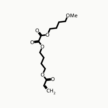 C=CC(=O)OCCCCOC(=O)C(=O)OCCCCOC